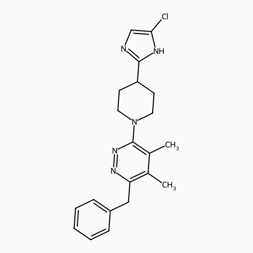 Cc1c(Cc2ccccc2)nnc(N2CCC(c3ncc(Cl)[nH]3)CC2)c1C